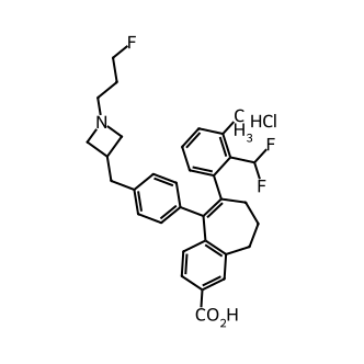 Cc1cccc(C2=C(c3ccc(CC4CN(CCCF)C4)cc3)c3ccc(C(=O)O)cc3CCC2)c1C(F)F.Cl